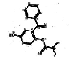 CN(C)C(=S)Oc1ccc(C#N)cc1C(=O)c1ccccc1